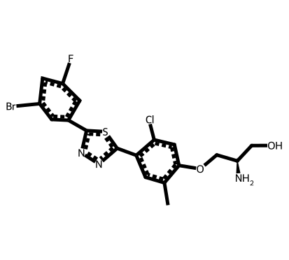 Cc1cc(-c2nnc(-c3cc(F)cc(Br)c3)s2)c(Cl)cc1OC[C@H](N)CO